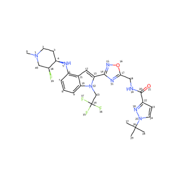 CN1CC[C@@H](Nc2cccc3c2cc(-c2noc(CNC(=O)c4ccn(C(C)(C)C)n4)n2)n3CC(F)(F)F)[C@@H](F)C1